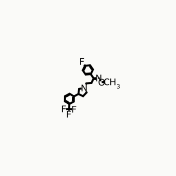 CO/N=C(\CCN1CCC(c2cccc(C(F)(F)F)c2)C1)c1ccc(F)cc1